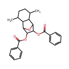 CC1CCC(C)C2C3OC(C(OC(=O)c4ccccc4)C3OC(=O)c3ccccc3)C12